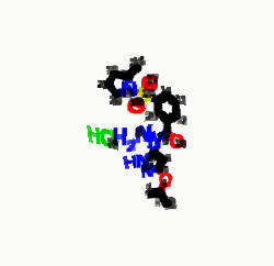 CC(C)Oc1cc(N(N)C(=O)c2cccc(S(=O)(=O)N3CCCC3C)c2)[nH]n1.Cl